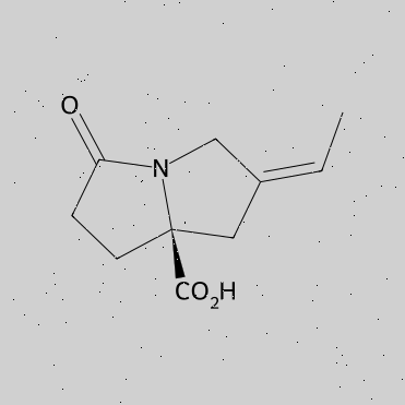 C/C=C1\CN2C(=O)CC[C@@]2(C(=O)O)C1